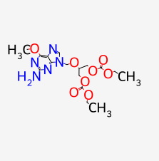 CCOC(=O)OCC(COC(=O)OCC)OCn1cnc2c(OC)nc(N)nc21